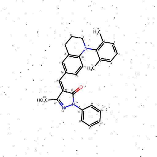 Cc1cccc(C)c1N1CCCc2cc(/C=C3\C(=O)N(c4ccccc4)N=C3C(=O)O)ccc21